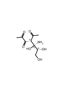 CC(=O)C(=O)[C@H](C(C)=O)[C@](N)(O)[C@H](O)CO